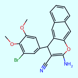 COc1cc(C2C(C#N)=C(N)Oc3cc4ccccc4cc32)cc(Br)c1OC